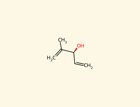 C=C[C@H](O)C(=C)C